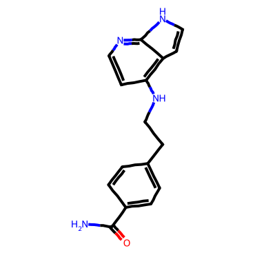 NC(=O)c1ccc(CCNc2ccnc3[nH]ccc23)cc1